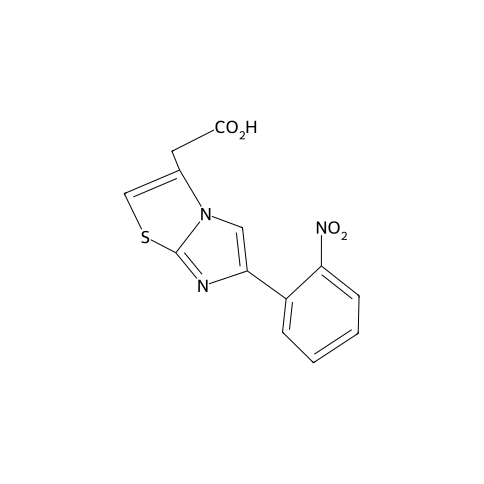 O=C(O)Cc1csc2nc(-c3ccccc3[N+](=O)[O-])cn12